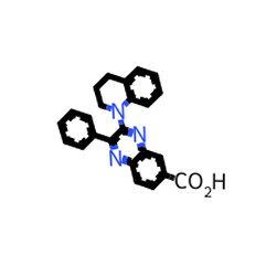 O=C(O)c1ccc2nc(-c3ccccc3)c(N3CCCc4ccccc43)nc2c1